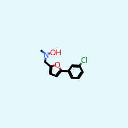 CN(O)Cc1ccc(-c2cccc(Cl)c2)o1